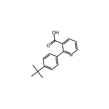 CC(C)(C)c1ccc(-c2ncccc2C(=O)O)cc1